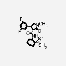 CN1C[C@H](c2cc(F)cc(F)c2)[C@@H](C(=O)Nc2ccccc2[S@@+](C)[O-])C1=O